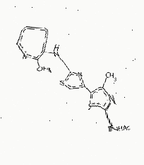 CC(=O)Nc1nc(C)c(-c2csc(Nc3cccnc3O)n2)s1